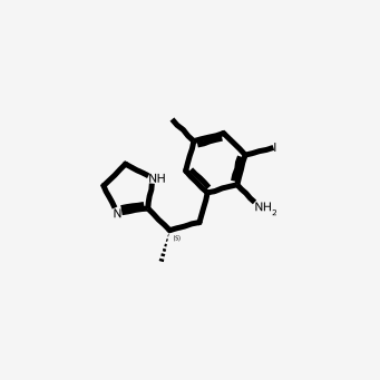 Cc1cc(I)c(N)c(C[C@H](C)C2=NCCN2)c1